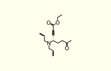 C=CCN(CC=C)[C@H](C#CC(=O)OCC)CCC(C)=O